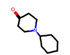 O=C1CCN(C2CCCCC2)CC1